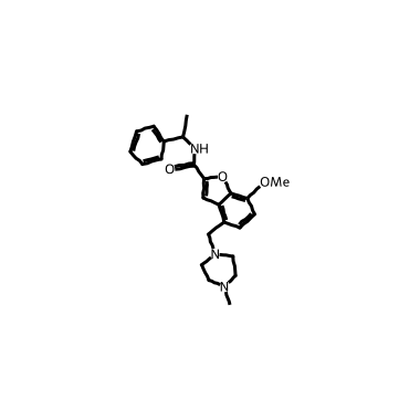 COc1ccc(CN2CCN(C)CC2)c2cc(C(=O)NC(C)c3ccccc3)oc12